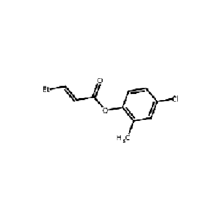 CCC=CC(=O)Oc1ccc(Cl)cc1C